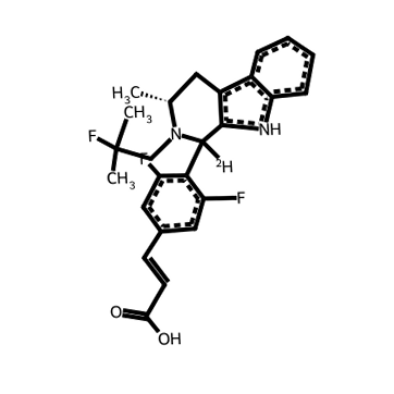 [2H]C1(c2c(F)cc(/C=C/C(=O)O)cc2F)c2[nH]c3ccccc3c2C[C@@H](C)N1CC(C)(C)F